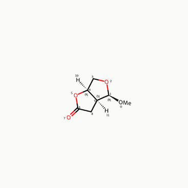 CO[C@@H]1OC[C@@H]2OC(=O)C[C@H]12